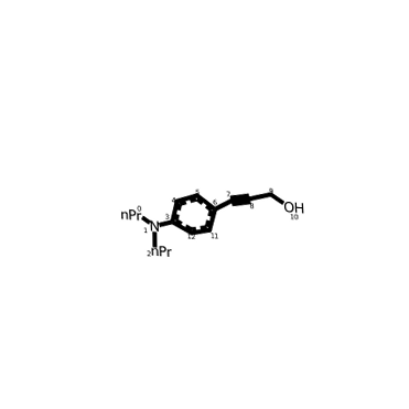 CCCN(CCC)c1ccc(C#CCO)cc1